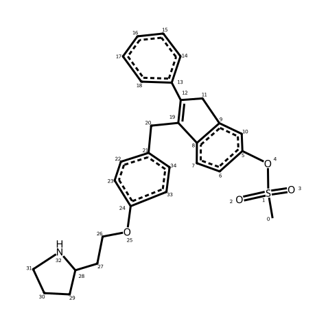 CS(=O)(=O)Oc1ccc2c(c1)CC(c1ccccc1)=C2Cc1ccc(OCCC2CCCN2)cc1